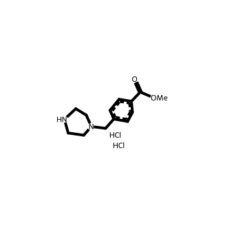 COC(=O)c1ccc(CN2CCNCC2)cc1.Cl.Cl